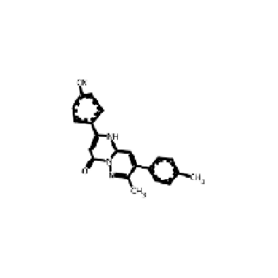 CC1=NN2C(=O)C=C(c3ccc(C#N)cc3)NC2C=C1c1ccc(C)cc1